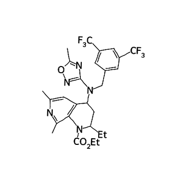 CCOC(=O)N1c2c(cc(C)nc2C)C(N(Cc2cc(C(F)(F)F)cc(C(F)(F)F)c2)c2noc(C)n2)CC1CC